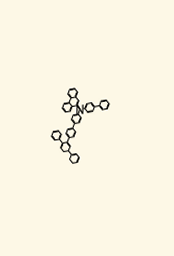 C1=CCCC(C2C=C(c3ccc(-c4ccc(N(c5ccc(-c6ccccc6)cc5)c5cc6ccccc6c6ccccc56)cc4)cc3)C(c3ccccc3)=CC2)=C1